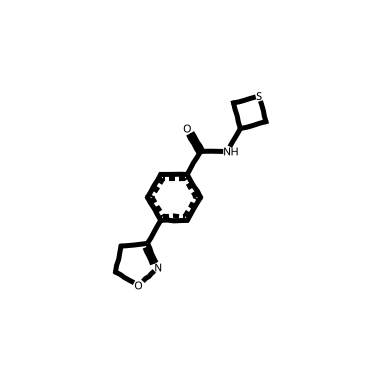 O=C(NC1CSC1)c1ccc(C2=NOCC2)cc1